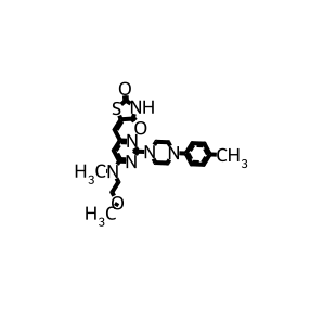 COCCN(C)c1cc(/C=C2/SC(=O)NC2=O)nc(N2CCN(c3ccc(C)cc3)CC2)n1